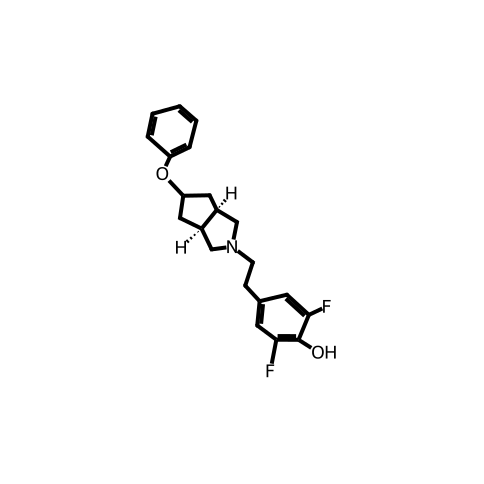 Oc1c(F)cc(CCN2C[C@H]3CC(Oc4ccccc4)C[C@H]3C2)cc1F